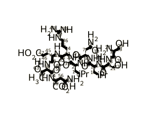 CC(C)C[C@H](NC(=O)[C@H](CC(N)=O)NC(=O)[C@H](CC(C)C)NC(=O)[C@H](CO)NC(=O)[C@@H](N)CO)C(=O)N[C@@H](CCCNC(=N)N)C(=O)N[C@@H](CCC(=O)O)C(=O)N[C@H](C(=O)N[C@@H](CC(N)=O)C(=O)O)[C@@H](C)O